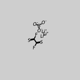 FC(=S)C(F)=S.[Li+].[Li+].[Li+].[O-]B([O-])[O-]